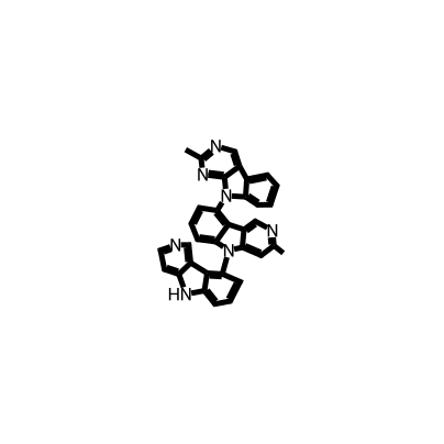 Cc1cc2c(cn1)c1c(-n3c4ccccc4c4cnc(C)nc43)cccc1n2-c1cccc2[nH]c3ccncc3c12